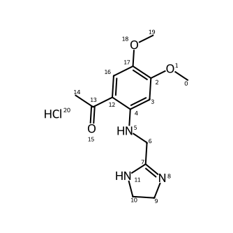 COc1cc(NCC2=NCCN2)c(C(C)=O)cc1OC.Cl